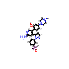 COc1cc(N2CCN(C)CC2)ccc1-c1cnc(N)cc1-c1ccnn1-c1cccc(P(C)(C)=O)c1